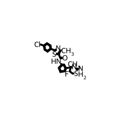 Cc1nc(-c2ccc(Cl)cc2)sc1C(=O)Nc1ccc(F)c(C2(C)CCSC(N)=N2)c1